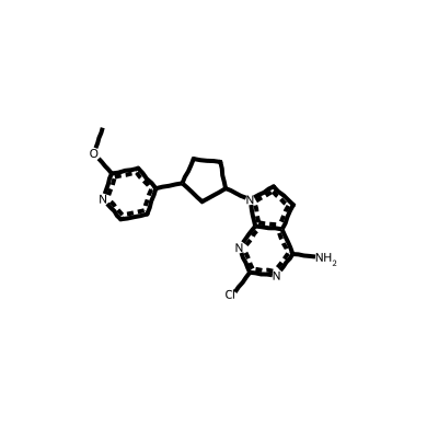 COc1cc(C2CCC(n3ccc4c(N)nc(Cl)nc43)C2)ccn1